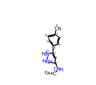 N#Cc1ccc(C2=CC(NC=O)NN2)cc1